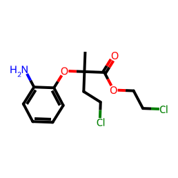 CC(CCCl)(Oc1ccccc1N)C(=O)OCCCl